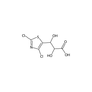 O=C(O)C(O)C(O)c1sc(Cl)nc1Cl